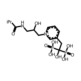 CC(C)C(=O)NCC(O)C[n+]1cccc(CC(O)(P(=O)(O)O)P(=O)(O)O)c1